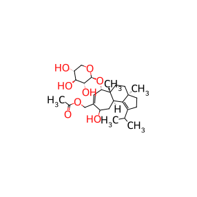 CC(=O)OCC1=C[C@H](O[C@@H]2OC[C@@H](O)[C@H](O)[C@H]2O)[C@]2(C)CC[C@@]3(C)CCC(C(C)C)=C3[C@H]2CC1O